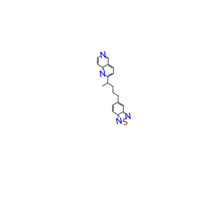 CC(CCCc1ccc2nsnc2c1)c1ccc2cnccc2n1